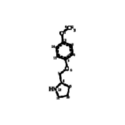 FC(F)(F)Oc1ccc(OCC2CCCN2)cc1